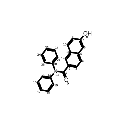 O=C(c1ccc2cc(O)ccc2c1)N(c1ccccc1)c1ccccc1